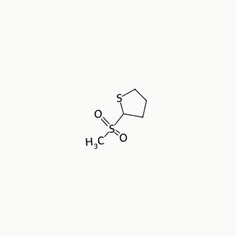 CS(=O)(=O)C1CCCS1